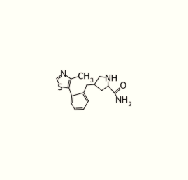 Cc1ncsc1-c1ccccc1CC1CNC(C(N)=O)C1